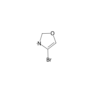 BrC1=COC[N]1